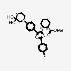 COC(=O)[C@@H]1CCCC[C@H]1c1nc(-c2ccc(F)cc2)oc1-c1ccc(N2CCSC(O)(O)C2)cc1